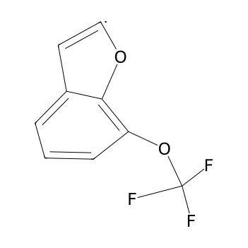 FC(F)(F)Oc1cccc2c[c]oc12